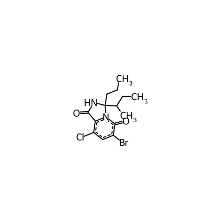 CCCC1(C(C)CC)NC(=O)c2c(Cl)cc(Br)c(=O)n21